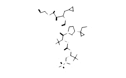 C=CCNC(=O)C(=O)C(CC1CC1)NC(=O)[C@@H]1C[C@@H](C2(CC)CC2)CN1C(=O)[C@@H](NC(=O)N[C@H](CN(C)S(C)(=O)=O)C(C)(C)C)C(C)(C)C